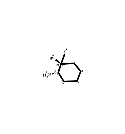 CC(C)[C@@]1(F)CCCC[C@@H]1N